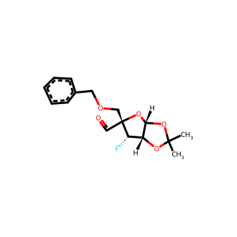 CC1(C)O[C@H]2O[C@](C=O)(COCc3ccccc3)[C@@H](F)[C@H]2O1